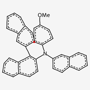 COc1ccc(N(c2ccc3ccccc3c2)c2ccc3ccccc3c2-c2ccc3ccccc3c2)cc1